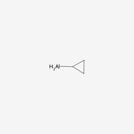 [AlH2][CH]1CC1